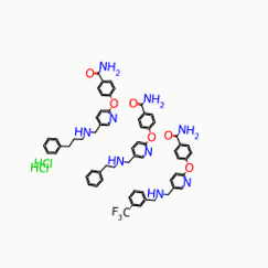 Cl.Cl.NC(=O)c1ccc(Oc2ccc(CNCCCc3ccccc3)cn2)cc1.NC(=O)c1ccc(Oc2ccc(CNCCc3ccccc3)cn2)cc1.NC(=O)c1ccc(Oc2ccc(CNCc3cccc(C(F)(F)F)c3)cn2)cc1